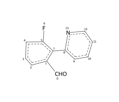 O=Cc1cccc(F)c1-c1ccccn1